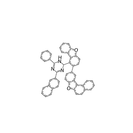 c1ccc(C2=NC(c3ccc4ccccc4c3)=NC(c3c(-c4ccc5oc6ccc7ccccc7c6c5c4)ccc4oc5ccccc5c34)N2)cc1